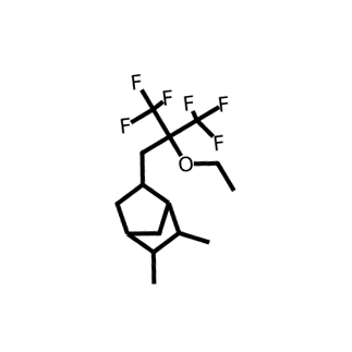 CCOC(CC1CC2CC1C(C)C2C)(C(F)(F)F)C(F)(F)F